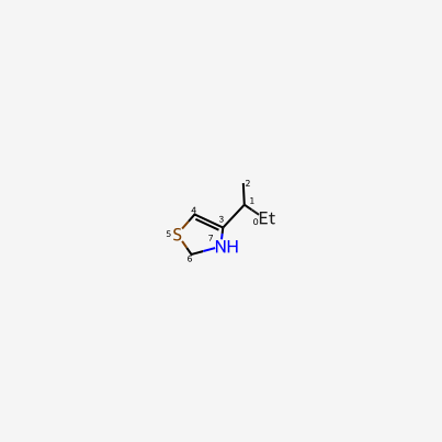 CCC(C)C1=CSCN1